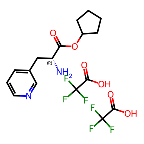 N[C@H](Cc1cccnc1)C(=O)OC1CCCC1.O=C(O)C(F)(F)F.O=C(O)C(F)(F)F